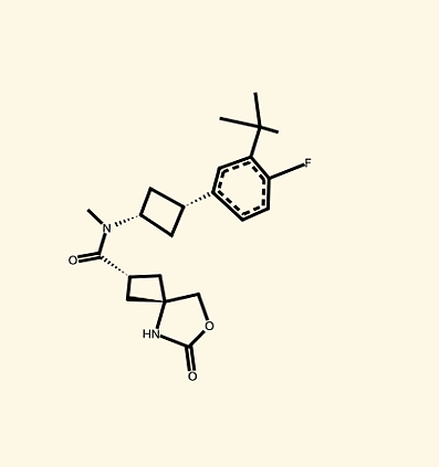 CN(C(=O)[C@H]1C[C@]2(COC(=O)N2)C1)[C@H]1C[C@@H](c2ccc(F)c(C(C)(C)C)c2)C1